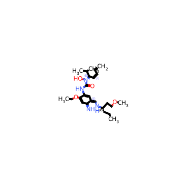 C=C/C=C\C(C(C)C)=[N+](\O)C(=O)NC1=C/C(=C/N[C@H](CCC)CCOC)C(=N)C=C1OCC